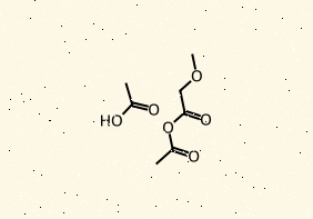 CC(=O)O.COCC(=O)OC(C)=O